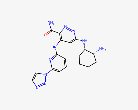 NC(=O)c1nnc(N[C@H]2CCCC[C@H]2N)cc1Nc1cccc(-n2ccnn2)n1